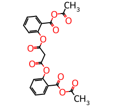 CC(=O)OC(=O)c1ccccc1OC(=O)CC(=O)Oc1ccccc1C(=O)OC(C)=O